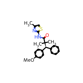 COc1ccc([C@H](c2ccccc2)C(C)(C)C(=O)Nc2nc(C)cs2)cc1